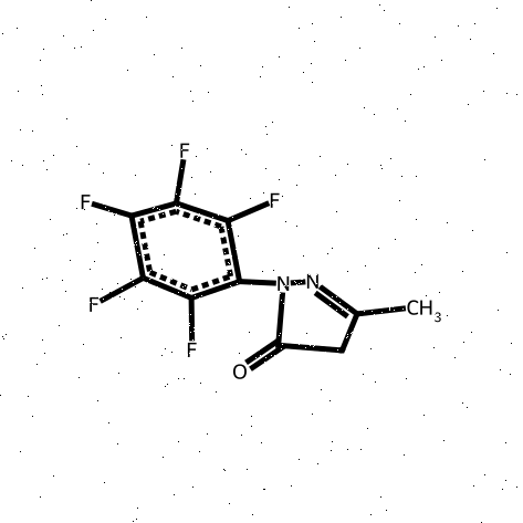 CC1=NN(c2c(F)c(F)c(F)c(F)c2F)C(=O)C1